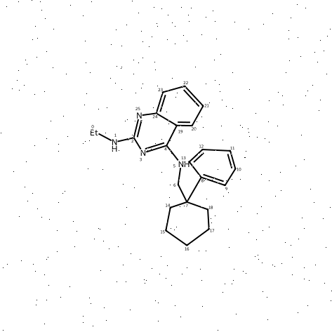 CCNc1nc(NCC2(c3ccccc3)CCCCC2)c2ccccc2n1